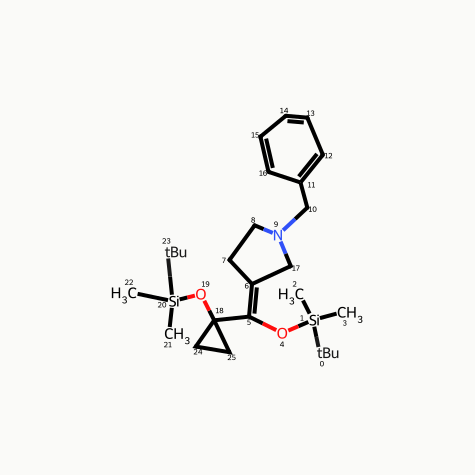 CC(C)(C)[Si](C)(C)O/C(=C1/CCN(Cc2ccccc2)C1)C1(O[Si](C)(C)C(C)(C)C)CC1